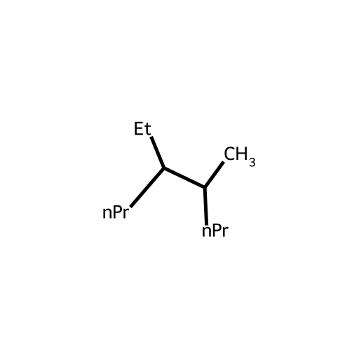 CCCC(C)C(CC)CCC